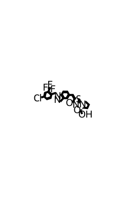 O=C1N=C(N2CCC[C@@H]2C(=O)O)SC1=Cc1ccc2c(cnn2Cc2ccc(Cl)cc2C(F)(F)F)c1